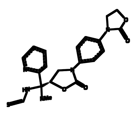 CNC(NC=S)(c1ccccn1)[C@@H]1CN(c2ccc(N3CCOC3=O)cc2)C(=O)O1